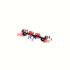 COc1cc(C=CC(=O)OC(=O)CC[C@H](N)C(=O)OC(=O)C=Cc2ccc(O)c(OC)c2)ccc1O